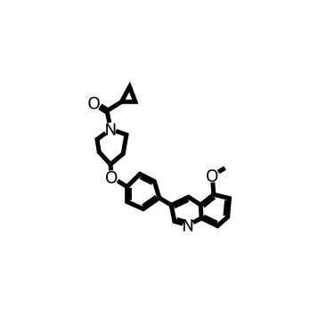 COc1cccc2ncc(-c3ccc(OC4CCN(C(=O)C5CC5)CC4)cc3)cc12